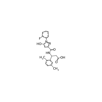 Cc1ccc(C)c(C(CC(=O)O)NC(=O)c2cc(O)n(-c3ccccc3F)n2)c1